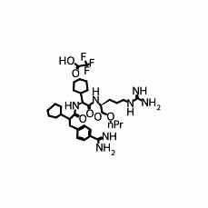 CCCOC(=O)[C@H](CCCNC(=N)N)NC(=O)[C@@H](NC(=O)C(Cc1ccc(C(=N)N)cc1)C1CCCCC1)C1CCCCC1.O=C(O)C(F)(F)F